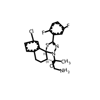 CC(=O)N1N=C(c2cc(F)ccc2F)S[C@@]12c1cc(Cl)ccc1CC[C@H]2CCN